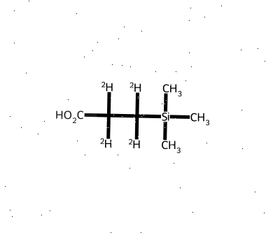 [2H]C([2H])(C(=O)O)C([2H])([2H])[Si](C)(C)C